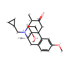 COc1ccc2c(c1)[C@]13CCN(CC4CC4)[C@H](C2)[C@]1(OC)CC(C)C(=O)C3